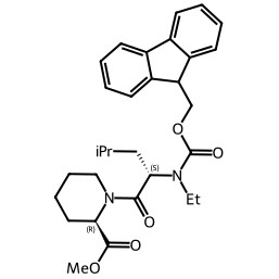 CCN(C(=O)OCC1c2ccccc2-c2ccccc21)[C@@H](CC(C)C)C(=O)N1CCCC[C@@H]1C(=O)OC